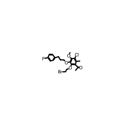 COc1c(Cl)c(C)c(C(C)=O)c(OCCBr)c1OCCCc1ccc(F)cc1